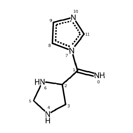 N=C(C1CNCN1)n1ccnc1